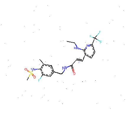 CCNc1nc(C(F)(F)F)ccc1/C=C/C(=O)NCc1cc(C)c(NS(C)(=O)=O)c(F)c1